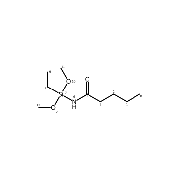 CCCCC(=O)N[Si](CC)(OC)OC